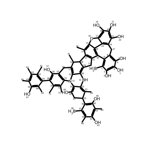 Bc1c(O)c(O)c(O)c2c1-c1c3c(c(C)c4oc5c(O)c(O)c(O)c(c5c14)C2)C1C(=C2BC4=C(C)C(c5c(B)c(C)c(O)c(C)c5O)CC(O)=C4N4C2=C(Cc2c(O)c(-c5c(C)c(C)c(C)c(O)c5C)c(C)c(C)c24)C1C)C3